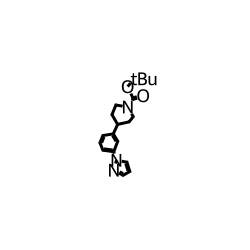 CC(C)(C)OC(=O)N1CCC(c2cccc(-n3cccn3)c2)CC1